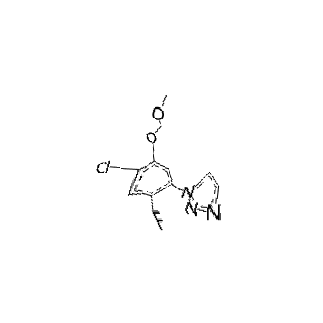 COCOc1cc(-n2ccnn2)c(F)cc1Cl